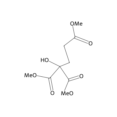 COC(=O)CCC(O)(C(=O)OC)C(=O)OC